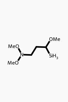 COC([SiH3])CCN(OC)OC